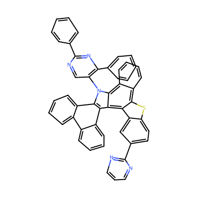 c1ccc(-c2ncc(-n3c4c5ccccc5c5ccccc5c4c4c5c6cc(-c7ncccn7)ccc6sc5c5ccccc5c43)c(-c3ccccc3)n2)cc1